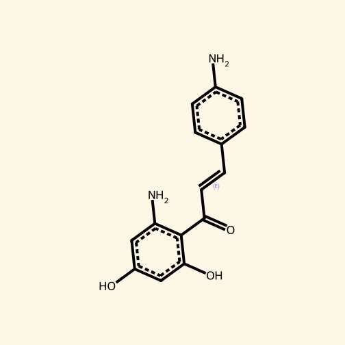 Nc1ccc(/C=C/C(=O)c2c(N)cc(O)cc2O)cc1